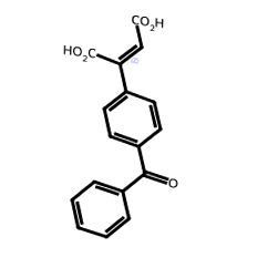 O=C(O)/C=C(\C(=O)O)c1ccc(C(=O)c2ccccc2)cc1